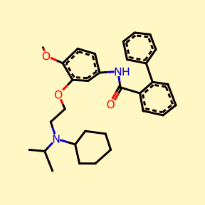 COc1ccc(NC(=O)c2ccccc2-c2ccccc2)cc1OCCN(C(C)C)C1CCCCC1